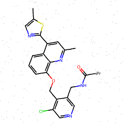 Cc1cc(-c2ncc(C)s2)c2cccc(OCc3c(Cl)cncc3CNC(=O)C(C)C)c2n1